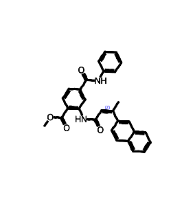 COC(=O)c1ccc(C(=O)Nc2ccccc2)cc1NC(=O)/C=C(/C)c1ccc2ccccc2c1